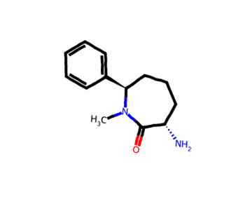 CN1C(=O)[C@@H](N)CCC[C@@H]1c1ccccc1